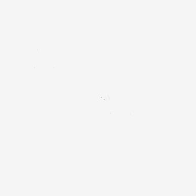 CCC(C)(C)OCCCNC(=O)OCc1ccccc1